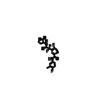 Cc1cc(NC(=O)c2ccc(F)c(C(F)(F)C(=O)NC3CCOC3=O)c2)ccc1F